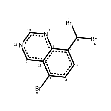 Brc1ccc(C(Br)Br)c2ncncc12